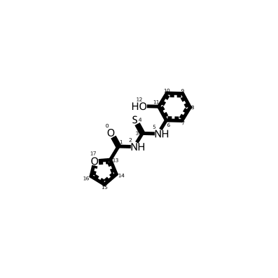 O=C(NC(=S)Nc1ccccc1O)c1ccco1